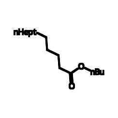 [CH2]CCCCCCCCCCC(=O)OCCCC